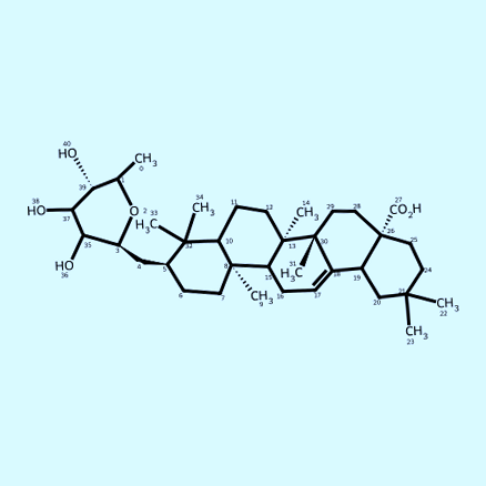 CC1O[C@@H](C[C@@H]2CC[C@@]3(C)C(CC[C@]4(C)C3CC=C3C5CC(C)(C)CC[C@]5(C(=O)O)CC[C@]34C)C2(C)C)C(O)C(O)[C@@H]1O